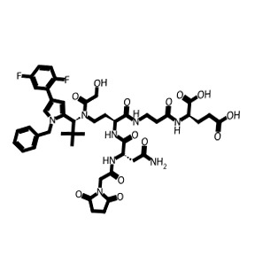 CC(C)(C)[C@H](c1cc(-c2cc(F)ccc2F)cn1Cc1ccccc1)N(CC[C@H](NC(=O)[C@H](CC(N)=O)NC(=O)CN1C(=O)CCC1=O)C(=O)NCCC(=O)N[C@H](CCC(=O)O)C(=O)O)C(=O)CO